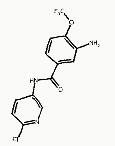 Nc1cc(C(=O)Nc2ccc(Cl)nc2)ccc1OC(F)(F)F